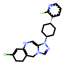 Fc1ncccc1[C@H]1CC[C@H](N2N=CN3CC4=C(C=C(Cl)CC4)NC=C32)CC1